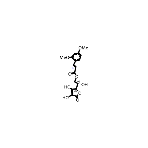 COc1ccc(/C=C/C(=O)OC[C@H](O)[C@H]2OC(=O)C(O)=C2O)c(OC)c1